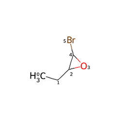 CCC1OC1Br